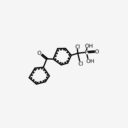 O=C(c1ccccc1)c1ccc(C(Cl)(Cl)P(=O)(O)O)cc1